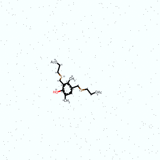 CC(=O)OCCSCc1cc(C)c(O)c(CSCCOC(C)=O)c1C